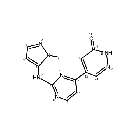 Cn1nccc1Nc1nccc(-c2cn[nH]c(=O)c2)n1